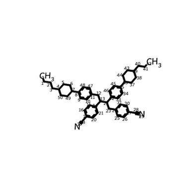 CCCCC1CCC(c2ccc(CC(c3ccc(C#N)cc3)C(Cc3ccc(C#N)cc3)c3ccc(C4CCC(CCC)CC4)cc3)cc2)CC1